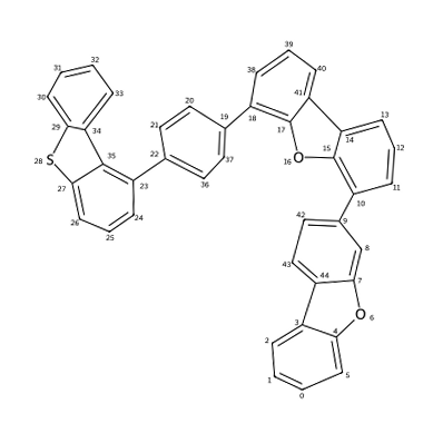 c1ccc2c(c1)oc1cc(-c3cccc4c3oc3c(-c5ccc(-c6cccc7sc8ccccc8c67)cc5)cccc34)ccc12